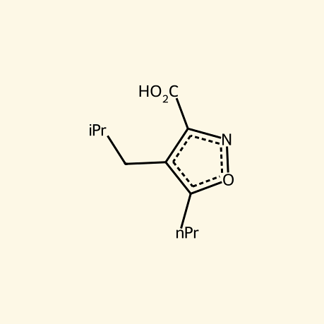 CCCc1onc(C(=O)O)c1CC(C)C